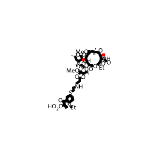 CC[C@@H]1OC(=O)[C@H](C)[C@H](O[C@@H]2O[C@H](C)[C@H](OC(=O)CCNCCSc3ccc4c(c3)c(=O)c(C(=O)O)cn4CC)[C@@](C)(OC)O2)[C@@H](C)[C@H](O[C@H]2O[C@@H](C)C[C@@H](N(C)C)[C@H]2O)[C@](C)(OC)C[C@H](C)C(=O)[C@@H](C)[C@@H]2NC(=O)O[C@@]12C